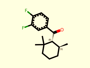 C[C@H]1CCCC(C)(C)[C@@H]1C(=O)c1ccc(F)c(F)c1